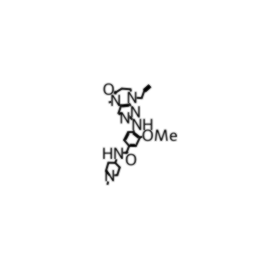 C#CCN1CCC(=O)N(C)c2cnc(Nc3ccc(C(=O)NC4CCN(C)CC4)cc3OC)nc21